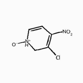 O=[N+]([O-])C1=C(Cl)C[NH+]([O-])C=C1